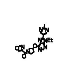 CCn1c(-c2cnc(C)nc2)nc2c(OC3CCN(C(=O)c4cocn4)C3)ncnc21